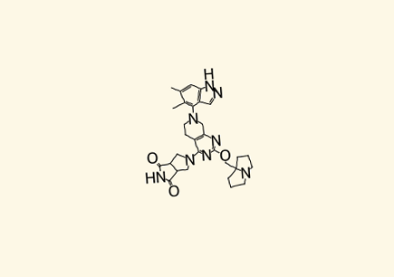 Cc1cc2[nH]ncc2c(N2CCc3c(nc(OCC45CCCN4CCC5)nc3N3CC4C(=O)NC(=O)C4C3)C2)c1C